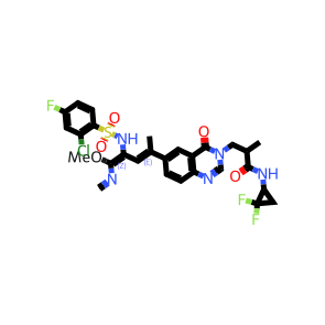 C=N/C(OC)=C(\C=C(/C)c1ccc2ncn(CC(C)C(=O)NC3CC3(F)F)c(=O)c2c1)NS(=O)(=O)c1ccc(F)cc1Cl